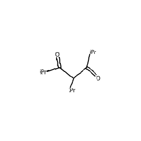 CC(C)C(=O)C(C(=O)C(C)C)C(C)C